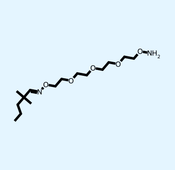 CCCC(C)(C)/C=N/OCCOCCOCCOCCON